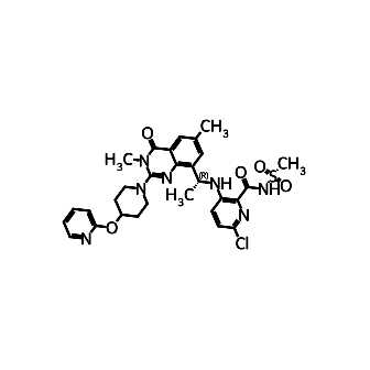 Cc1cc([C@@H](C)Nc2ccc(Cl)nc2C(=O)NS(C)(=O)=O)c2nc(N3CCC(Oc4ccccn4)CC3)n(C)c(=O)c2c1